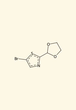 Brc1cnc(C2OCCO2)s1